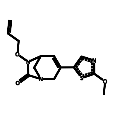 C=CCON1C(=O)N2CC(c3cnc(OC)s3)=CC1C2